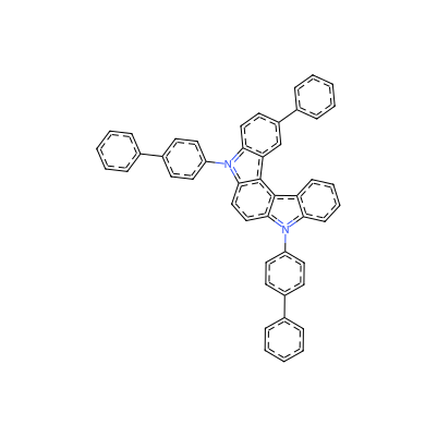 c1ccc(-c2ccc(-n3c4ccccc4c4c5c6cc(-c7ccccc7)ccc6n(-c6ccc(-c7ccccc7)cc6)c5ccc43)cc2)cc1